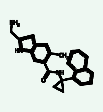 Cc1cc2cc(CN)[nH]c2cc1C(=O)NC1(c2cccc3ccccc23)CC1